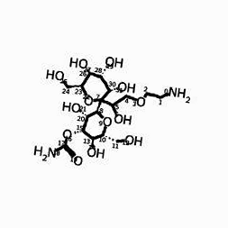 NCCOCC(O)C1([C@H]2O[C@H](CO)[C@@H](O)[C@H](OC(N)=O)[C@@H]2O)O[C@@H](CO)[C@@H](O)[C@H](O)[C@@H]1O